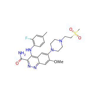 COc1cc2nnc(C(N)=O)c(Nc3ccc(C)cc3F)c2cc1N1CCN(CCS(C)(=O)=O)CC1